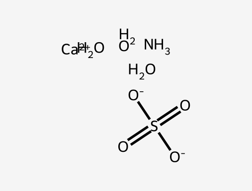 N.O.O.O.O=S(=O)([O-])[O-].[Ca+2]